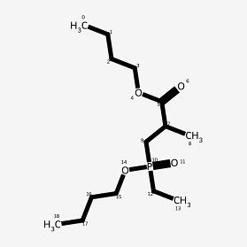 CCCCOC(=O)C(C)CP(=O)(CC)OCCCC